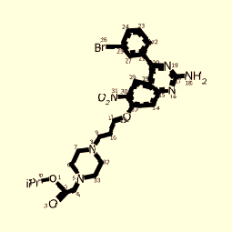 CC(C)OC(=O)CN1CCN(CCCOc2cc3nc(N)nc(-c4cccc(Br)c4)c3cc2[N+](=O)[O-])CC1